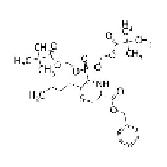 CCCCC1=C(P(=O)(OCOC(=O)C(C)(C)C)OCOC(=O)C(C)(C)C)N[C@H](C(=O)OCc2ccccc2)CS1